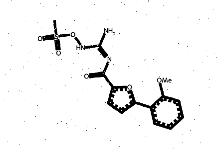 COc1ccccc1-c1ccc(C(=O)N=C(N)NOS(C)(=O)=O)o1